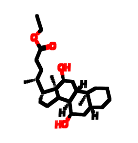 CCOC(=O)CC[C@@H](C)[C@H]1CCC2[C@@H]3[C@H](O)C[C@@H]4CCCC[C@]4(C)[C@H]3C[C@H](O)[C@@]21C